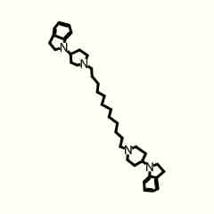 c1ccc2c(c1)CCN2C1CCN(CCCCCCCCCCCCN2CCC(N3CCc4ccccc43)CC2)CC1